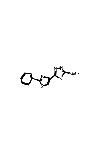 CSc1nnc(-c2csc(-c3ccccc3)n2)s1